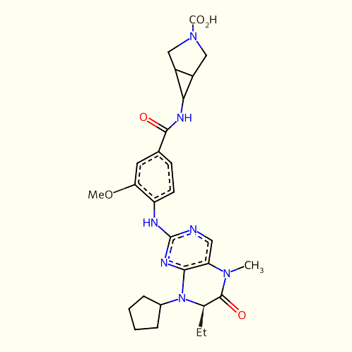 CC[C@@H]1C(=O)N(C)c2cnc(Nc3ccc(C(=O)NC4C5CN(C(=O)O)CC54)cc3OC)nc2N1C1CCCC1